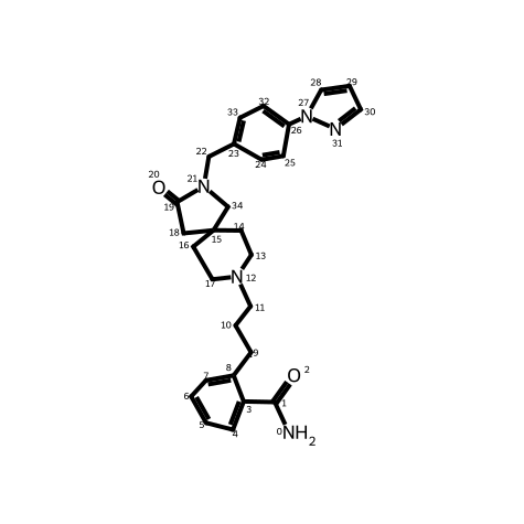 NC(=O)c1ccccc1[CH]CCN1CCC2(CC1)CC(=O)N(Cc1ccc(-n3cccn3)cc1)C2